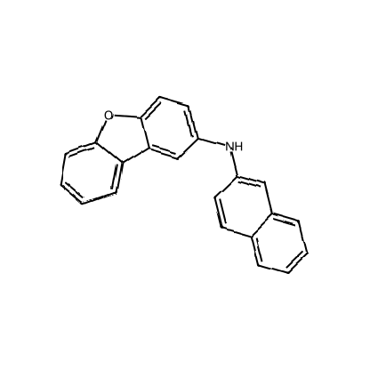 c1ccc2cc(Nc3ccc4oc5ccccc5c4c3)ccc2c1